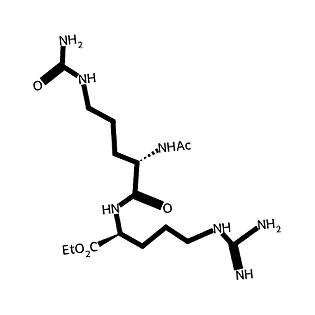 CCOC(=O)[C@H](CCCNC(=N)N)NC(=O)[C@H](CCCNC(N)=O)NC(C)=O